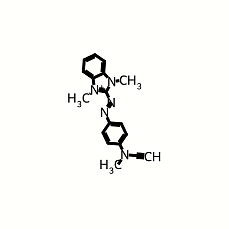 C#CN(C)c1ccc(/N=N/c2n(C)c3ccccc3[n+]2C)cc1